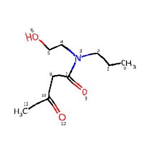 CCCN(CCO)C(=O)CC(C)=O